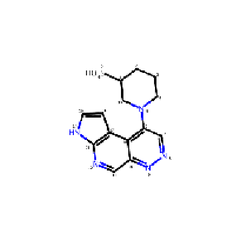 O=S(=O)(O)C1CCCN(c2cnnc3cnc4[nH]ccc4c23)C1